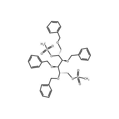 CS(=O)(=O)OC[C@H](OCc1ccccc1)[C@@H](OCc1ccccc1)[C@H](OCc1ccccc1)[C@@H](COCc1ccccc1)OS(C)(=O)=O